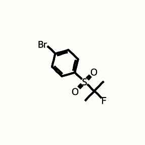 CC(C)(F)S(=O)(=O)c1ccc(Br)cc1